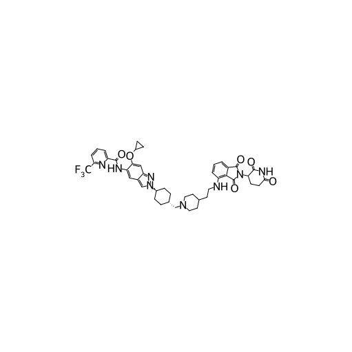 O=C1CCC(N2C(=O)c3cccc(NCCC4CCN(C[C@H]5CC[C@H](n6cc7cc(NC(=O)c8cccc(C(F)(F)F)n8)c(OC8CC8)cc7n6)CC5)CC4)c3C2=O)C(=O)N1